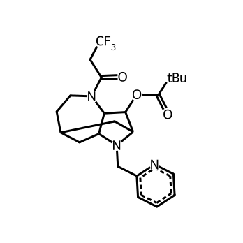 CC(C)(C)C(=O)OC1C2C3CC(CCN2C(=O)CC(F)(F)F)CC1N3Cc1ccccn1